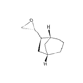 C1C[C@@H]2C[C@H]1C[C@H]2[C@@H]1CO1